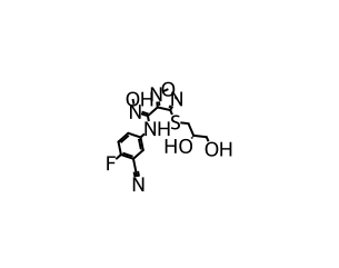 N#Cc1cc(N/C(=N/O)c2nonc2SC[C@@H](O)CO)ccc1F